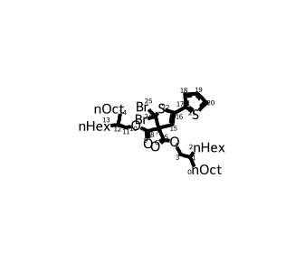 CCCCCCCCC(CCCCCC)COC(=O)C1(C(=O)OCC(CCCCCC)CCCCCCCC)C=C(c2cccs2)SC1(Br)Br